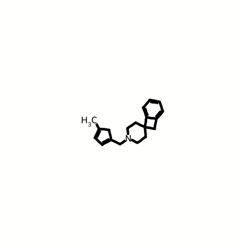 CC1=CC=C(CN2CCC3(CC2)Cc2ccccc23)C1